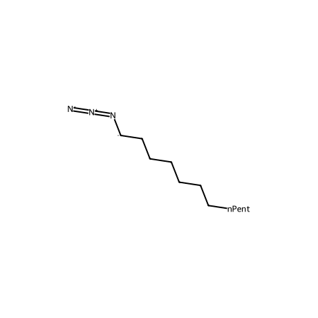 CCCCCCCCCCC[CH]N=[N+]=[N-]